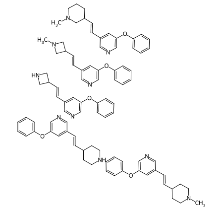 C(=CC1CCNCC1)c1cncc(Oc2ccccc2)c1.C(=CC1CNC1)c1cncc(Oc2ccccc2)c1.CN1CC(C=Cc2cncc(Oc3ccccc3)c2)C1.CN1CCC(C=Cc2cncc(Oc3ccccc3)c2)CC1.CN1CCCC(C=Cc2cncc(Oc3ccccc3)c2)C1